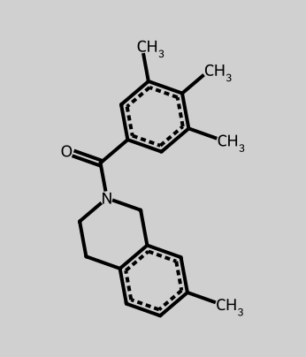 Cc1ccc2c(c1)CN(C(=O)c1cc(C)c(C)c(C)c1)CC2